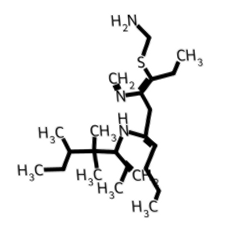 C=N/C(C/C(=C/CCC)NC(C(=C)C)C(C)(C)C(C)CC)=C(/CC)SCN